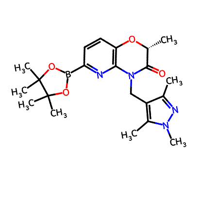 Cc1nn(C)c(C)c1CN1C(=O)[C@@H](C)Oc2ccc(B3OC(C)(C)C(C)(C)O3)nc21